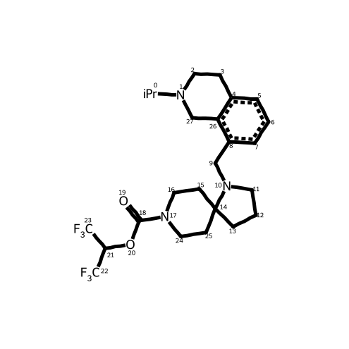 CC(C)N1CCc2cccc(CN3CCCC34CCN(C(=O)OC(C(F)(F)F)C(F)(F)F)CC4)c2C1